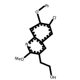 COc1nc2cc(OC(C)C)c(Cl)cc2cc1CCO